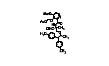 COc1ccnc(C(=O)N[C@](C)(C=O)CO[C@@H](C)C(c2ccc(C)cc2)c2ccc(C)cc2)c1OCOC(C)=O